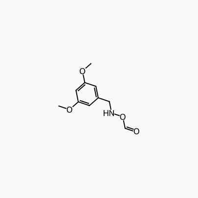 COc1cc(CNOC=O)cc(OC)c1